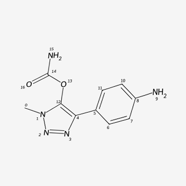 Cn1nnc(-c2ccc(N)cc2)c1OC(N)=O